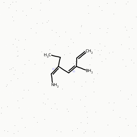 B/C(C=C)=C/C(=C\N)CC